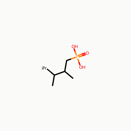 CC(C)C(C)C(C)CP(=O)(O)O